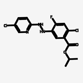 CC(C)OC(=O)c1cc(NNc2ccc(Cl)cn2)c(F)cc1Cl